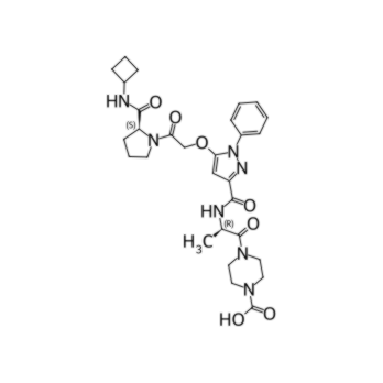 C[C@@H](NC(=O)c1cc(OCC(=O)N2CCC[C@H]2C(=O)NC2CCC2)n(-c2ccccc2)n1)C(=O)N1CCN(C(=O)O)CC1